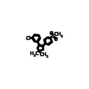 CC1(C)CC(c2ccc(S(C)(=O)=O)cc2)=C(c2cccc(Cl)c2)C1